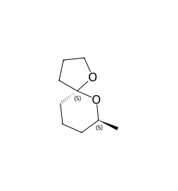 C[C@H]1CCC[C@@]2(CCCO2)O1